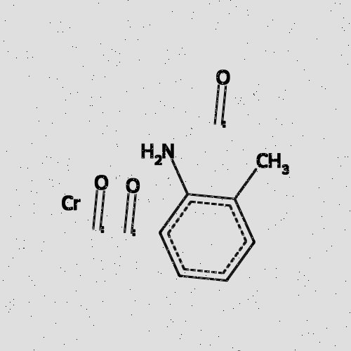 Cc1ccccc1N.[C]=O.[C]=O.[C]=O.[Cr]